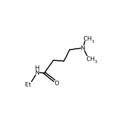 CCNC(=O)CCCN(C)C